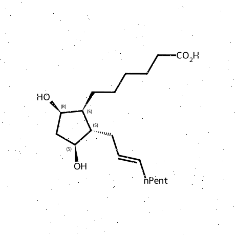 CCCCCC=CC[C@H]1[C@H](CCCCCC(=O)O)[C@H](O)C[C@@H]1O